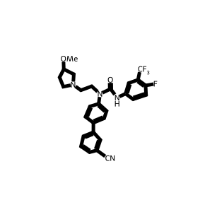 COC1CCN(CCN(C(=O)Nc2ccc(F)c(C(F)(F)F)c2)c2ccc(-c3cccc(C#N)c3)cc2)C1